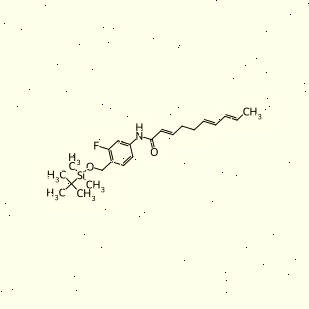 C/C=C/C=C/CC/C=C/C(=O)Nc1ccc(CO[Si](C)(C)C(C)(C)C)c(F)c1